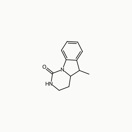 CC1c2ccccc2N2C(=O)NCCC12